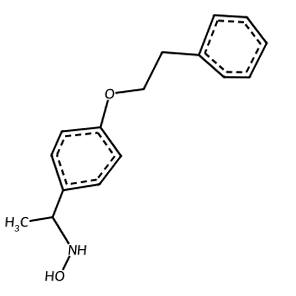 CC(NO)c1ccc(OCCc2ccccc2)cc1